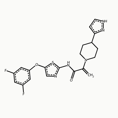 C=C(C(=O)Nc1ncc(Oc2cc(F)cc(F)c2)s1)N1CCC(c2cc[nH]n2)CC1